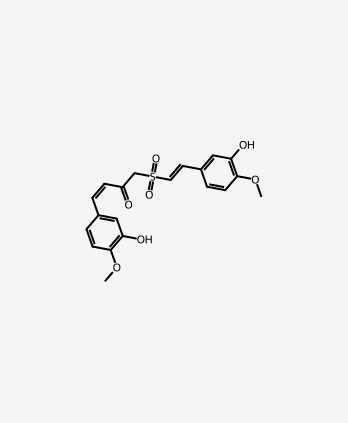 COc1ccc(/C=C\C(=O)CS(=O)(=O)/C=C/c2ccc(OC)c(O)c2)cc1O